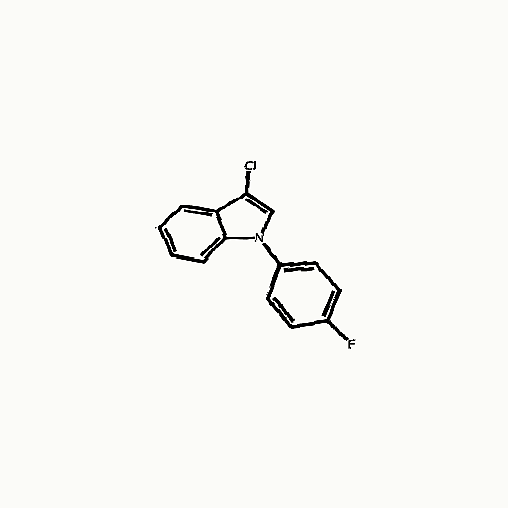 Fc1ccc(-n2cc(Cl)c3c[c]ccc32)cc1